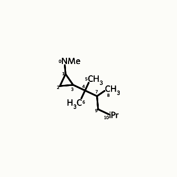 CNC1CC1C(C)(C)C(C)CC(C)C